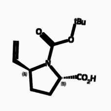 C=C[C@@H]1CC[C@@H](C(=O)O)N1C(=O)OC(C)(C)C